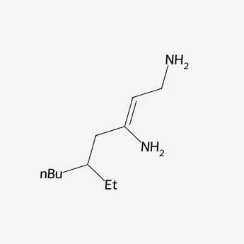 CCCCC(CC)CC(N)=CCN